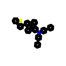 c1ccc(-c2ccc(N(c3ccc(-c4ccccc4)cc3)c3ccc([Si](c4ccccc4)(c4ccccc4)c4cccc(-c5cccc6c5sc5ccccc56)c4)cc3)cc2)cc1